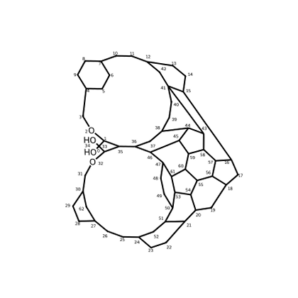 OC1OCC2CCC(CC2)CCC2CCC3C4CC5CC6C7CCC8CCC9CCC(COC(O)C1C1CC%10CCC3(C2)C2C%10C3C1C1CCC(C7C8)C7C6C6C5C4C2C3C6C17)C9